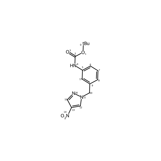 CC(C)(C)OC(=O)Nc1cccc(Cn2cc([N+](=O)[O-])cn2)c1